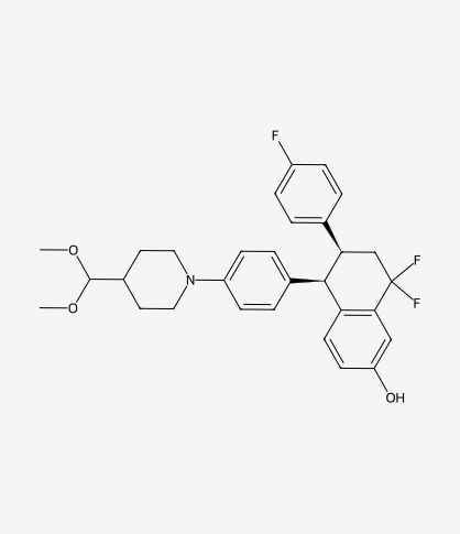 COC(OC)C1CCN(c2ccc([C@@H]3c4ccc(O)cc4C(F)(F)C[C@@H]3c3ccc(F)cc3)cc2)CC1